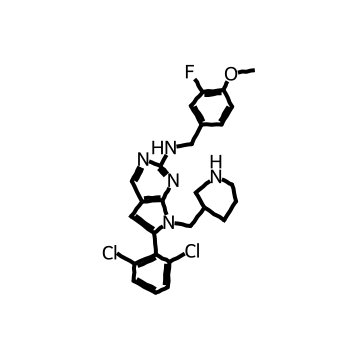 COc1ccc(CNc2ncc3cc(-c4c(Cl)cccc4Cl)n(CC4CCCNC4)c3n2)cc1F